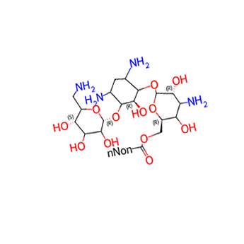 CCCCCCCCCC(=O)OC[C@H]1OC(OC2C(N)CC(N)C(O[C@H]3OC(CN)[C@@H](O)C(O)C3O)[C@@H]2O)[C@H](O)C(N)C1O